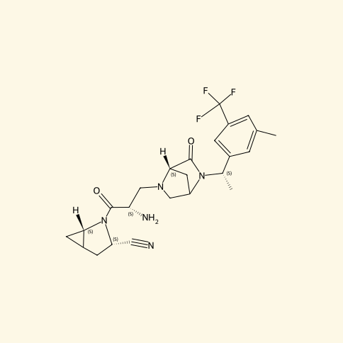 Cc1cc([C@H](C)N2C(=O)[C@@H]3CC2CN3C[C@H](N)C(=O)N2[C@H](C#N)CC3C[C@@H]32)cc(C(F)(F)F)c1